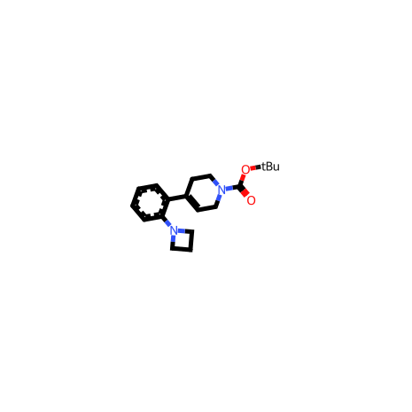 CC(C)(C)OC(=O)N1CC=C(c2ccccc2N2CCC2)CC1